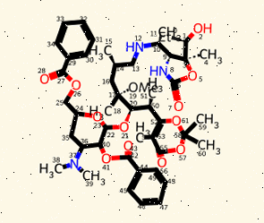 CC[C@@H](O)[C@@]1(C)OC(=O)N[C@@H]1[C@@H](C)NC[C@H](C)C[C@@](C)(OC)[C@H](OC1OC(COC(=O)c2ccccc2)CC(N(C)C)C1OC(=O)c1ccccc1)[C@@H](C)C1=C(C)C(=O)OC(C)(C)O1